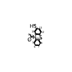 CC(=O)N1c2ccccc2Sc2ccc(S)cc21